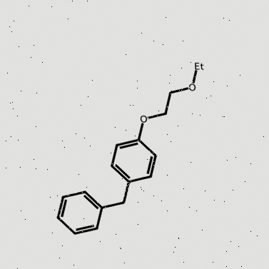 CCOCCOc1ccc(Cc2ccccc2)cc1